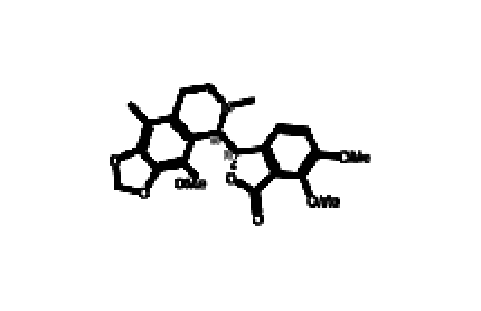 COc1ccc2c(c1OC)C(=O)O[C@@H]2[C@H]1c2c(c(C)c3c(c2OC)OCO3)CCN1C